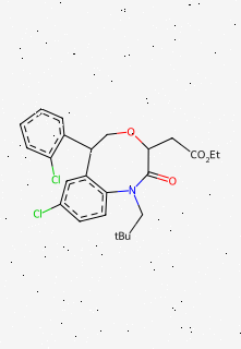 CCOC(=O)CC1OCC(c2ccccc2Cl)c2cc(Cl)ccc2N(CC(C)(C)C)C1=O